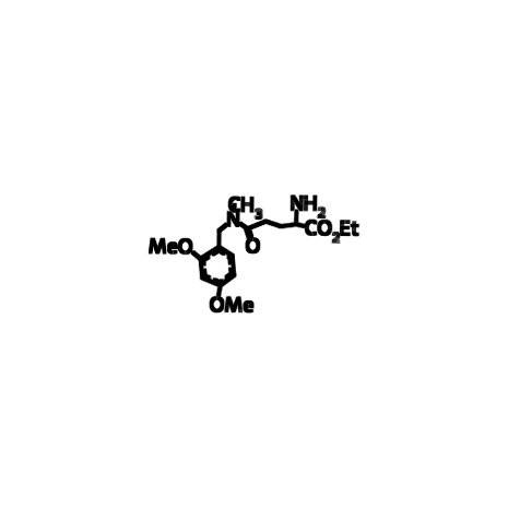 CCOC(=O)C(N)CCC(=O)N(C)Cc1ccc(OC)cc1OC